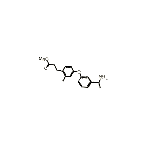 COC(=O)CCc1ccc(Oc2cccc(C(C)N)c2)cc1C